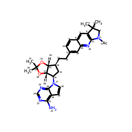 CC(=O)N1CC(C)(C)c2cc3ccc(CC[C@H]4C[C@@H](n5ccc6c(N)ncnc65)[C@@H]5OC(C)(C)O[C@H]45)cc3nc21